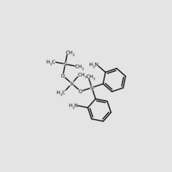 C[Si](C)(C)O[Si](C)(C)O[Si](C)(c1ccccc1N)c1ccccc1N